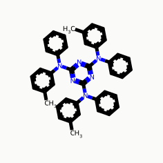 Cc1cccc(N(c2ccccc2)c2nc(N(c3ccccc3)c3cccc(C)c3)nc(N(c3ccccc3)c3cccc(C)c3)n2)c1